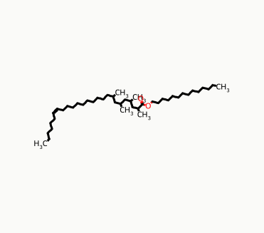 CCCCCC/C=C\CCCCCCCCCCC(C)CC(C)CC(C)CC(C)C(=O)OCCCCCCCCCCCCCC